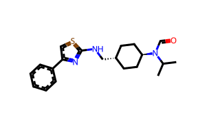 CC(C)N(C=O)[C@H]1CC[C@H](CNc2nc(-c3ccccc3)cs2)CC1